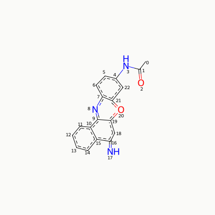 CC(=O)Nc1ccc2nc3c4ccccc4c(=N)cc-3oc2c1